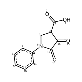 O=C(O)C1CN(c2ccccc2)C(=O)C1=O